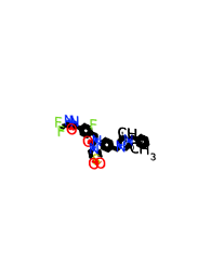 C[C@@H]1CN(Cc2ccc(N(Cc3ccc(-c4nnc(C(F)F)o4)cc3F)C(=O)N3CCS(=O)(=O)CC3)cc2)C[C@H](C)N1Cc1ccccc1